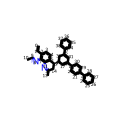 C=Cc1ccc2c(c1/N=C/C)N=C(C)CC2[C@@H]1C=C(c2ccc(-c3ccccc3)cc2)C=C(c2ccccc2)C1